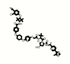 Cc1ncsc1-c1ccc([C@H](C)NC(=O)[C@@H]2C[C@@H](O)CN2C(=O)[C@@H](NC(=O)COc2ccc(OC3CCC(Oc4ccc(C(=O)N[C@H]5C(C)(C)[C@H](Oc6ccc(C#N)c(Cl)c6)C5(C)C)cc4)CC3)nc2)C(C)(C)C)nc1